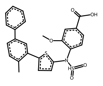 COc1cc(C(=O)O)ccc1N(c1ccc(-c2cc(-c3ccccc3)ccc2C)s1)[SH](=O)=O